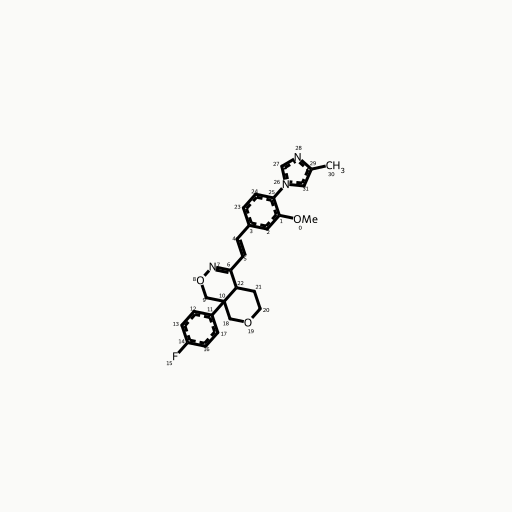 COc1cc(/C=C/C2=NOCC3(c4ccc(F)cc4)COCCC23)ccc1-n1cnc(C)c1